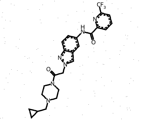 O=C(Nc1ccc2nn(CC(=O)N3CCN(CC4CC4)CC3)cc2c1)c1cccc(C(F)(F)F)n1